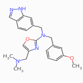 COc1cccc(CN(Cc2ccc3cn[nH]c3c2)c2nc(CN(C)C)co2)c1